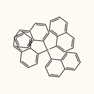 c1ccc2c([B-](c3cccc4ccccc34)(c3cccc4ccccc34)c3cccc4ccccc34)cccc2c1